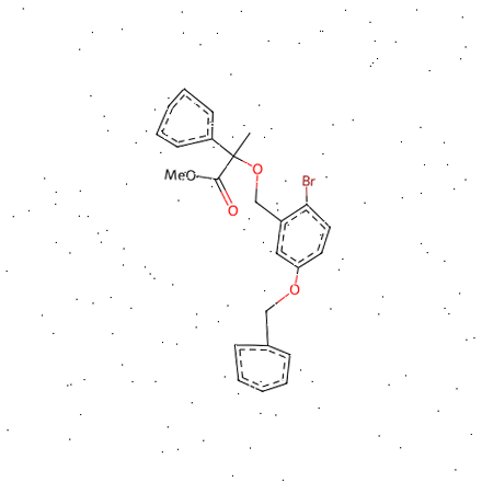 COC(=O)C(C)(OCc1cc(OCc2ccccc2)ccc1Br)c1ccccc1